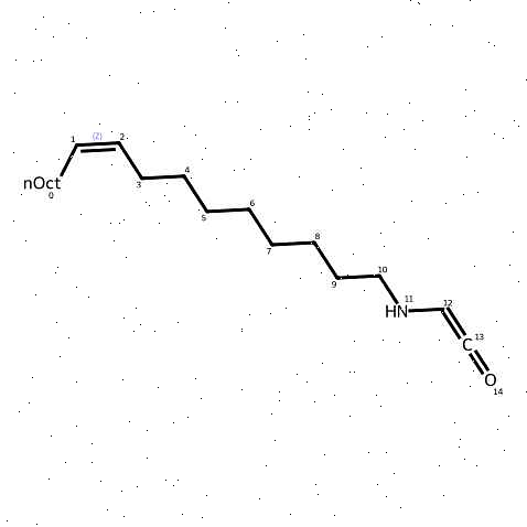 CCCCCCCC/C=C\CCCCCCCCNC=C=O